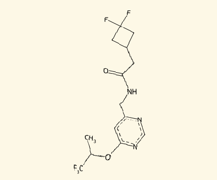 CC(Oc1cc(CNC(=O)CC2CC(F)(F)C2)ncn1)C(F)(F)F